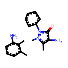 Cc1c(N)c(=O)n(-c2ccccc2)n1C.Cc1cccc(N)c1C